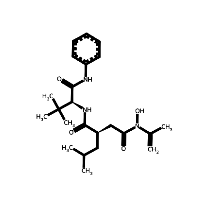 C=C(C)N(O)C(=O)C[C@@H](CC(C)C)C(=O)N[C@H](C(=O)Nc1ccccc1)C(C)(C)C